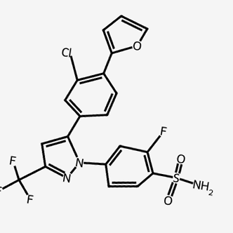 NS(=O)(=O)c1ccc(-n2nc(C(F)(F)F)cc2-c2ccc(-c3ccco3)c(Cl)c2)cc1F